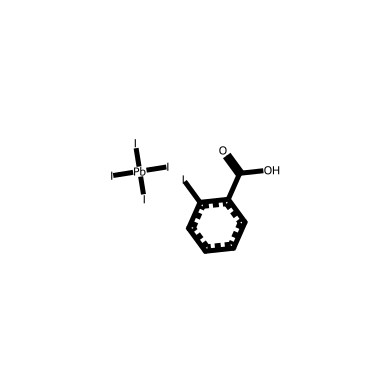 O=C(O)c1ccccc1I.[I][Pb]([I])([I])[I]